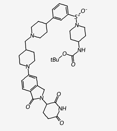 CC(C)(C)OC(=O)NC1CCN([S+]([O-])c2cccc(C3CCN(CC4CCN(c5ccc6c(c5)CN(C5CCC(=O)NC5=O)C6=O)CC4)CC3)c2)CC1